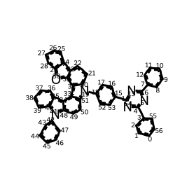 c1ccc(-c2nc(-c3ccccc3)nc(-c3ccc(-n4c5ccc6c7ccccc7oc6c5c5c6c7ccccc7n(-c7ccccc7)c6ccc54)cc3)n2)cc1